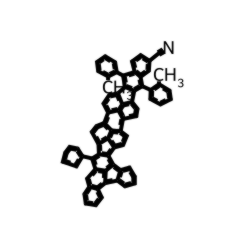 Cc1ccccc1-c1c2c(c(-c3ccccc3C)c3cc(C#N)ccc13)-c1ccc3c4ccc5c6c(ccc(c7ccc-2c1c73)c46)c1c(-c2ccccc2)c2cc3ccccc3c3c4ccccc4c(c51)c23